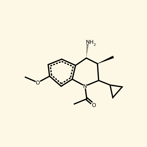 COc1ccc2c(c1)N(C(C)=O)C(C1CC1)[C@H](C)[C@H]2N